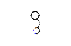 c1ccc(Cc2ccns2)cc1